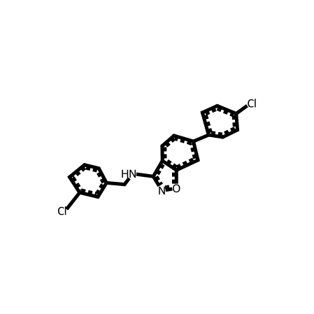 Clc1ccc(-c2ccc3c(NCc4cccc(Cl)c4)noc3c2)cc1